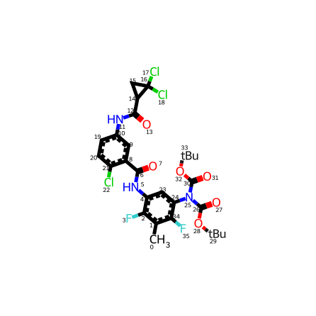 Cc1c(F)c(NC(=O)c2cc(NC(=O)C3CC3(Cl)Cl)ccc2Cl)cc(N(C(=O)OC(C)(C)C)C(=O)OC(C)(C)C)c1F